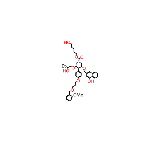 CCC(O)COC1CN(C(=O)OCCCCCO)CC(OCc2cc(O)c3ccccc3c2)C1c1ccc(OCCCOCc2ccccc2OC)cc1